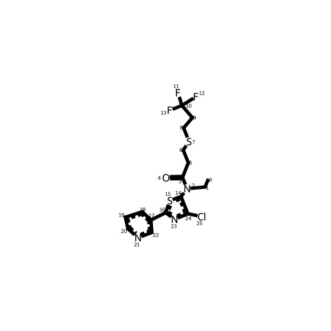 CCN(C(=O)CCSCCC(F)(F)F)c1sc(-c2cccnc2)nc1Cl